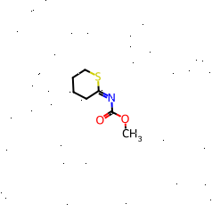 COC(=O)N=C1C[CH]CCS1